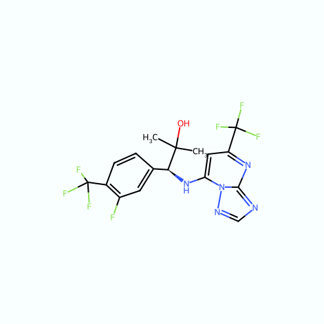 CC(C)(O)[C@@H](Nc1cc(C(F)(F)F)nc2ncnn12)c1ccc(C(F)(F)F)c(F)c1